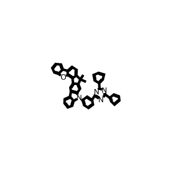 CC1(C)c2cc3c(cc2-c2c1ccc1c2oc2ccccc21)c1ccccc1n3-c1cccc(-c2nc(-c3ccccc3)nc(-c3ccccc3)n2)c1